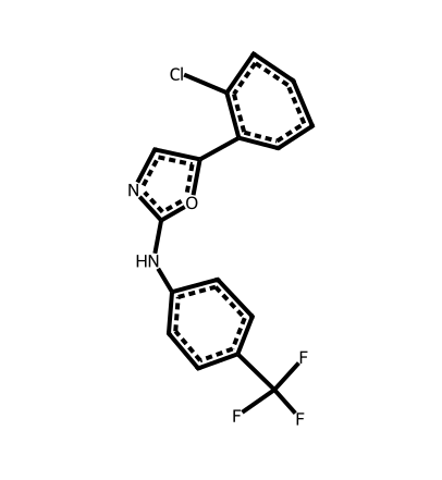 FC(F)(F)c1ccc(Nc2ncc(-c3ccccc3Cl)o2)cc1